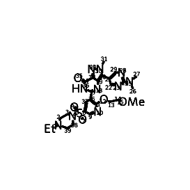 CCN1CCN(S(=O)(=O)c2cnc(OCCOC)c(-c3nc4c(-c5cnc(N(C)C)nc5)n(C)nc4c(=O)[nH]3)c2)CC1